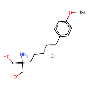 CCCCOc1ccc(CCCCCC(N)(CO)CO)cc1.Cl